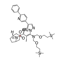 CC(C)(C)OC(=O)N1C2CC[C@@H]1CC(c1nc3c(-c4ccc(-c5ccccc5)nc4)cnn3c(N(COCC[Si](C)(C)C)COCC[Si](C)(C)C)c1I)C2